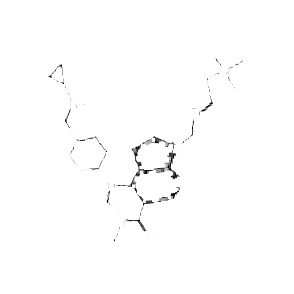 CN1CN([C@H]2CC[C@H](CNC3CC3)CC2)c2c(cnc3c2ccn3COCC[Si](C)(C)C)C1=O